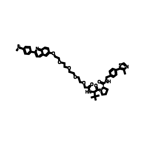 Cc1ncsc1-c1ccc(CNC(=O)[C@@H]2CCCN2C(=O)C(NC(=O)COCCOCCOCCOCCOc2ccc3nc(-c4ccc(N(C)C)cc4)ccc3c2)C(C)(C)C)cc1